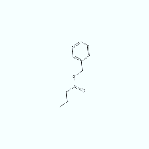 C[CH]CC(=O)OCc1ccccc1